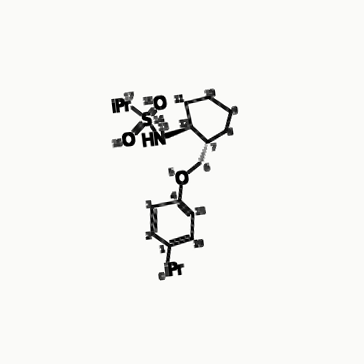 CC(C)c1ccc(OC[C@H]2CCCC[C@@H]2NS(=O)(=O)C(C)C)cc1